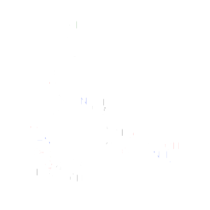 C[C@@H]1[C@@H](C)CCC[C@H]([C@H]2OC[C@](N)(CO)CO2)[C@@H]2CC[C@H]2CN2CCCCc3cc(Cl)ccc3COc3ccc(cc32)C(=O)NS1(=O)=O